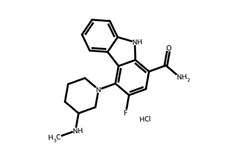 CNC1CCCN(c2c(F)cc(C(N)=O)c3[nH]c4ccccc4c23)C1.Cl